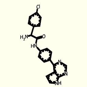 NC(C(=O)Nc1ccc(-c2ncnc3[nH]ccc23)cc1)c1ccc(Cl)cc1